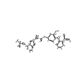 C=C(Cc1ccc(Oc2ncccc2C(N)=O)c(F)c1)Nc1nc2c(OC(F)F)cccn2n1